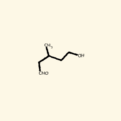 CC(CC=O)CCO